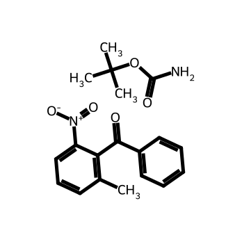 CC(C)(C)OC(N)=O.Cc1cccc([N+](=O)[O-])c1C(=O)c1ccccc1